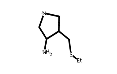 CCSCC1C[N]CC1N